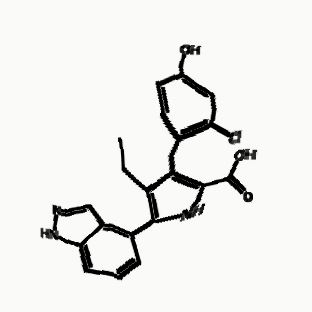 CCc1c(-c2cccc3[nH]ncc23)[nH]c(C(=O)O)c1-c1ccc(O)cc1Cl